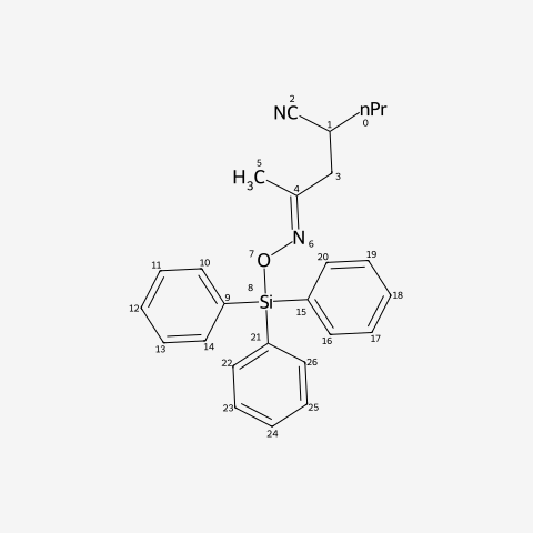 CCCC(C#N)C/C(C)=N/O[Si](c1ccccc1)(c1ccccc1)c1ccccc1